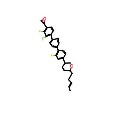 C/C=C/CCC1CCC(c2ccc(-c3ccc(-c4ccc(C5CO5)c(F)c4F)cc3)c(F)c2)CO1